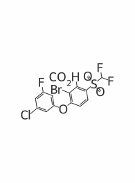 O=C(O)c1c(S(=O)(=O)C(F)F)ccc(Oc2cc(F)cc(Cl)c2)c1Br